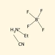 CC#N.CC[NH3+].F[B-](F)(F)F